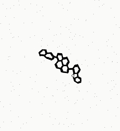 C1=CC2=C(c3ccc4ccccc4c3)C=CC3=CC=C4C(c5cccc6c5oc5ccccc56)=CC=C1C4C32